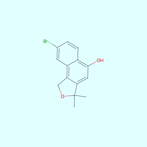 CC1(C)OCc2c1cc(O)c1ccc(Br)cc21